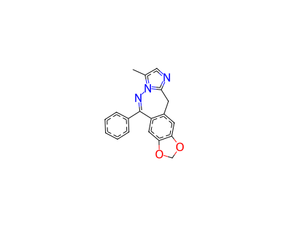 Cc1cnc2n1N=C(c1ccccc1)c1cc3c(cc1C2)OCO3